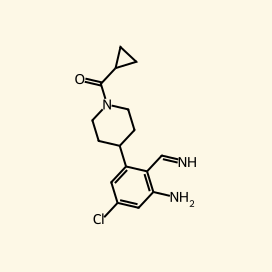 N=Cc1c(N)cc(Cl)cc1C1CCN(C(=O)C2CC2)CC1